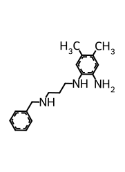 Cc1cc(N)c(NCCCNCc2ccccc2)cc1C